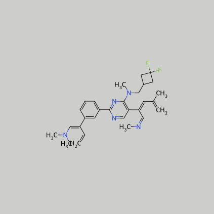 C=C/C(=C\N(C)C)c1cccc(-c2ncc(C(/C=N\C)=C/C(=C)C)c(N(C)CC3CC(F)(F)C3)n2)c1